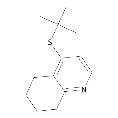 CC(C)(C)Sc1ccnc2c1CCCC2